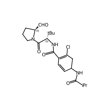 CC(C)C(=O)NC1C=CC(C(=O)N[C@H](C(=O)N2CCC[C@H]2C=O)C(C)(C)C)=C(Cl)C1